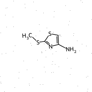 CSc1nc(N)[c]s1